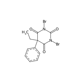 CCC1(c2ccccc2)C(=O)N(Br)C(=O)N(Br)C1=O